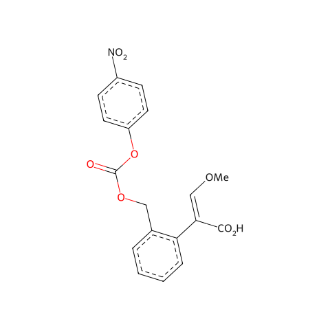 COC=C(C(=O)O)c1ccccc1COC(=O)Oc1ccc([N+](=O)[O-])cc1